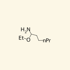 CCCCCC(N)OCC